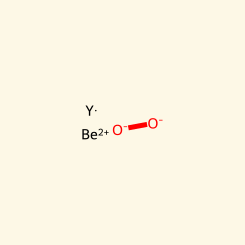 [Be+2].[O-][O-].[Y]